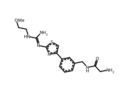 COCCN/C(N)=N/c1nc(-c2cccc(CNC(=O)CN)c2)cs1